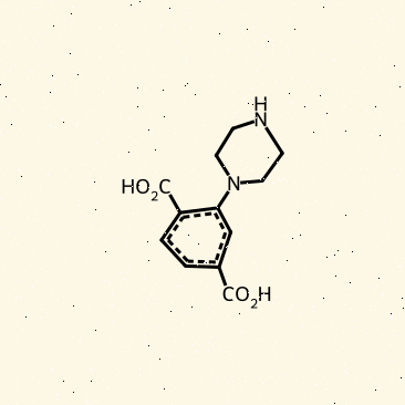 O=C(O)c1ccc(C(=O)O)c(N2CCNCC2)c1